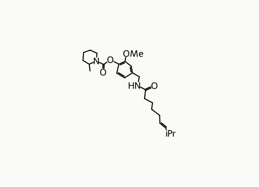 COc1cc(CNC(=O)CCCC/C=C/C(C)C)ccc1OC(=O)N1CCCCC1C